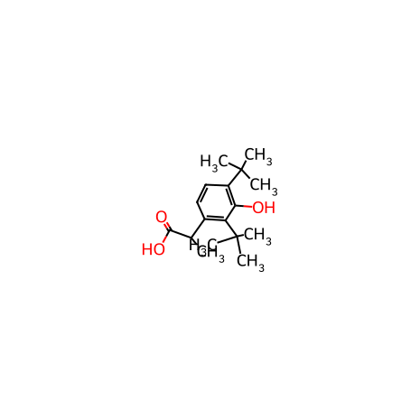 CC(C(=O)O)c1ccc(C(C)(C)C)c(O)c1C(C)(C)C